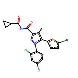 Cc1c(C(=O)NC(=O)C2CC2)nn(-c2ccc(Cl)cc2Cl)c1-c1ccc(Br)s1